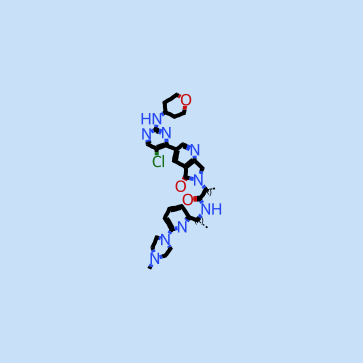 C[C@H](C(=O)N[C@H](C)c1cccc(N2CCN(C)CC2)n1)N1Cc2ncc(-c3nc(NC4CCOCC4)ncc3Cl)cc2C1=O